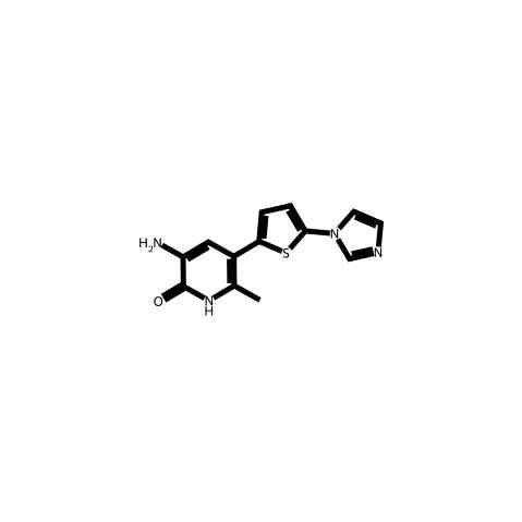 Cc1[nH]c(=O)c(N)cc1-c1ccc(-n2ccnc2)s1